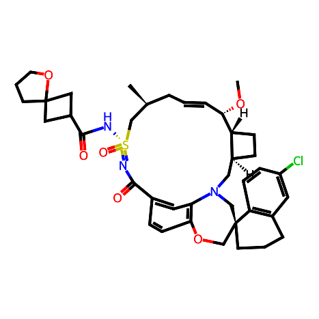 CO[C@H]1/C=C/C[C@H](C)C[S@@](=O)(NC(=O)C2CC3(CCCO3)C2)=NC(=O)c2ccc3c(c2)N(C[C@@H]2CC[C@H]21)C[C@@]1(CCCc2cc(Cl)ccc21)CO3